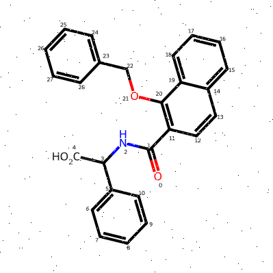 O=C(NC(C(=O)O)c1ccccc1)c1ccc2ccccc2c1OCc1ccccc1